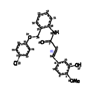 COc1ccc(/C=C/C(=O)Nc2ccccc2COc2ccc(Cl)cc2)cc1O